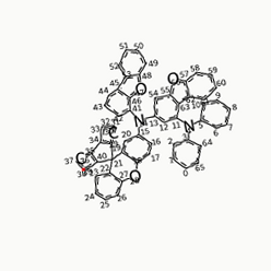 c1ccc(N(c2ccccc2)c2cc(N(c3ccc4c(c3)C3(c5ccccc5O4)c4ccccc4-c4ccccc43)c3cccc4c3oc3ccccc34)cc3oc4ccccc4c23)cc1